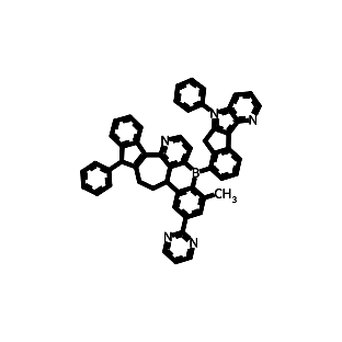 Cc1cc(-c2ncccn2)cc2c1B(c1cccc3c1Cc1c-3c3ncccc3n1-c1ccccc1)c1ccnc3c1C2CCC1=C3c2ccccc2C1c1ccccc1